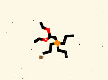 CCC[P+](CCC)(CCC)CC(OCC)OCC.[Br-]